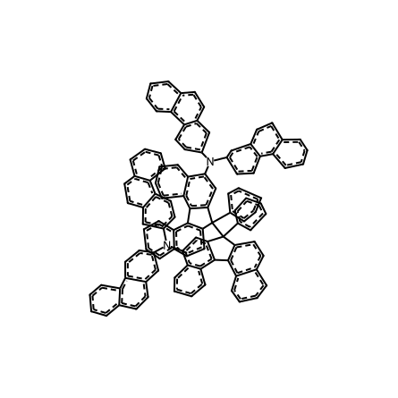 c1ccc(C2(C3(c4ccccc4)c4ccc5ccccc5c4-c4c3cc(N(c3ccc5c(ccc6ccccc65)c3)c3ccc5c(ccc6ccccc65)c3)c3ccccc43)c3ccc4ccccc4c3-c3c2cc(N(c2ccc4c(ccc5ccccc54)c2)c2ccc4c(ccc5ccccc54)c2)c2ccccc32)cc1